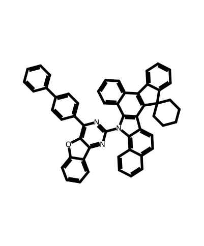 c1ccc(-c2ccc(-c3nc(-n4c5c6ccccc6ccc5c5c6c(c7ccccc7c54)-c4ccccc4C64CCCCC4)nc4c3oc3ccccc34)cc2)cc1